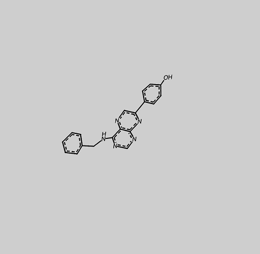 Oc1ccc(-c2cnc3c(NCc4ccccc4)ncnc3n2)cc1